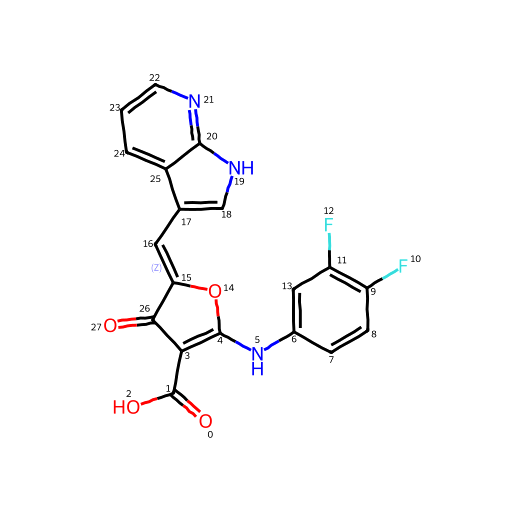 O=C(O)C1=C(Nc2ccc(F)c(F)c2)O/C(=C\c2c[nH]c3ncccc23)C1=O